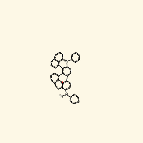 [2H]N(c1ccccc1)c1ccc(-c2ccc(N([2H])c3ccccc3)c(-c3cccc4ccccc34)c2-c2cccc3ccccc23)cc1